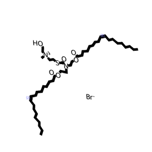 CCCCCCCC/C=C\CCCCCCCC(=O)OCCN(CCOC(=O)CCCCCCC/C=C\CCCCCCCC)C(=O)SCC[N+](C)(C)CCO.[Br-]